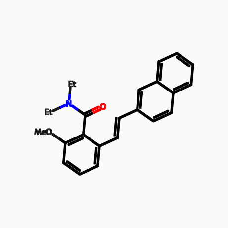 CCN(CC)C(=O)c1c(/C=C/c2ccc3ccccc3c2)cccc1OC